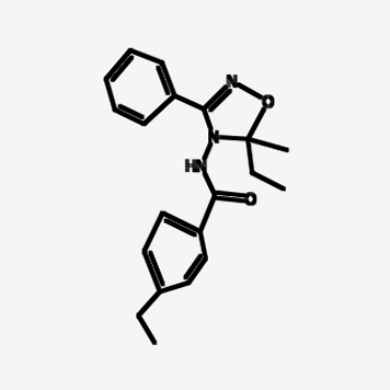 CCc1ccc(C(=O)NN2C(c3ccccc3)=NOC2(C)CC)cc1